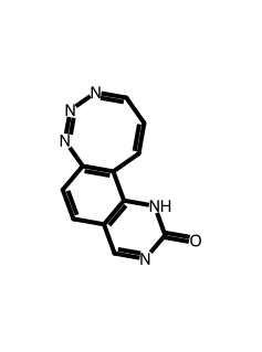 O=c1ncc2ccc3c(c2[nH]1)C=CC=NN=N3